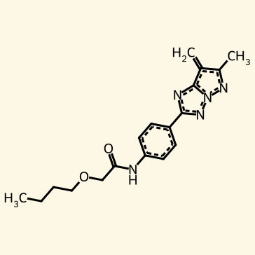 C=c1c(C)nn2nc(-c3ccc(NC(=O)COCCCC)cc3)nc12